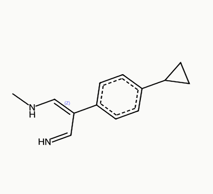 CN/C=C(\C=N)c1ccc(C2CC2)cc1